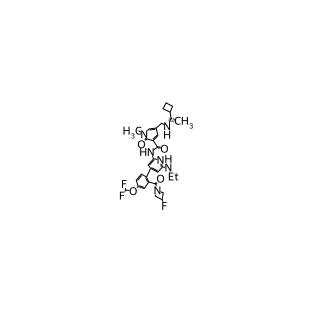 CCNc1cc(-c2ccc(OC(F)F)cc2C(=O)N2CC(F)C2)cc(NC(=O)c2cc(CN[C@@H](C)C3CCC3)cn(C)c2=O)n1